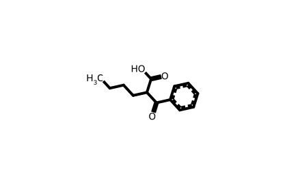 CCCCC(C(=O)O)C(=O)c1ccccc1